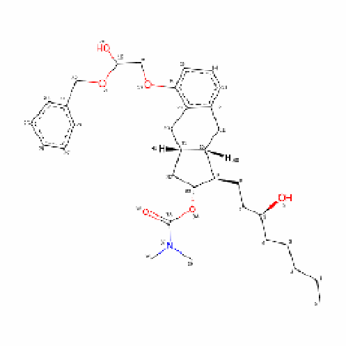 CCCCC[C@H](O)CC[C@@H]1[C@H]2Cc3cccc(OCC(O)OCc4ccccc4)c3C[C@H]2C[C@H]1OC(=O)N(C)C